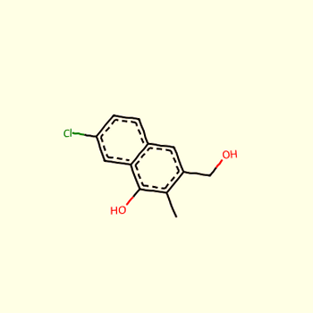 Cc1c(CO)cc2ccc(Cl)cc2c1O